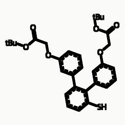 CC(C)(C)OC(=O)COc1cccc(-c2cccc(S)c2-c2cccc(OCC(=O)OC(C)(C)C)c2)c1